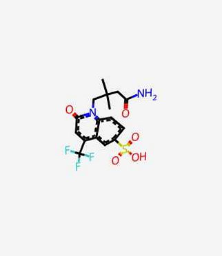 CC(C)(CC(N)=O)Cn1c(=O)cc(C(F)(F)F)c2cc(S(=O)(=O)O)ccc21